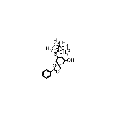 CC(C)(C)[Si](C)(C)OC1C[C@@H](O)C[C@@]2(CO[C@@H](c3ccccc3)O2)C1